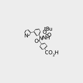 CC(C)(C)OC(=O)NN(C(=O)c1ccc(C(=O)O)cc1)c1cccc(-c2cccnc2)c1